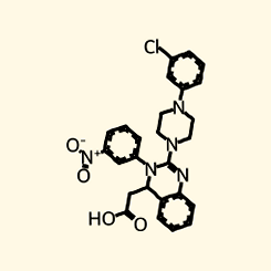 O=C(O)CC1c2ccccc2N=C(N2CCN(c3cccc(Cl)c3)CC2)N1c1cccc([N+](=O)[O-])c1